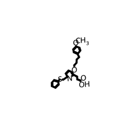 COc1ccc(CCCCOc2ccc(CSc3ccccc3)nc2CCC(=O)O)cc1